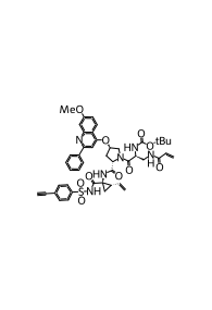 C#Cc1ccc(S(=O)(=O)NC(=O)[C@@]2(NC(=O)[C@@H]3C[C@@H](Oc4cc(-c5ccccc5)nc5cc(OC)ccc45)CN3C(=O)[C@H](CNC(=O)C=C)NC(=O)OC(C)(C)C)C[C@H]2C=C)cc1